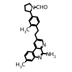 Cc1ccc2c(c1)nc(N)c1ncc(CCc3ccc(C4CCCN4C=O)cc3C)cc12